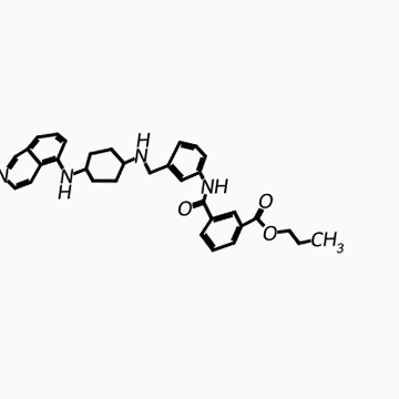 CCCOC(=O)c1cccc(C(=O)Nc2cccc(CNC3CCC(Nc4cccc5cnccc45)CC3)c2)c1